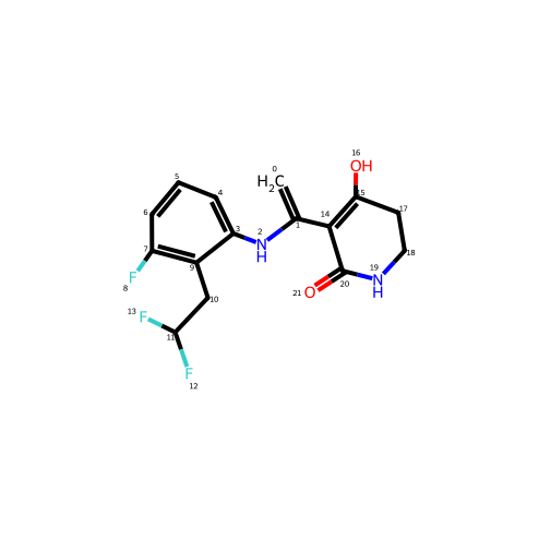 C=C(Nc1cccc(F)c1CC(F)F)C1=C(O)CCNC1=O